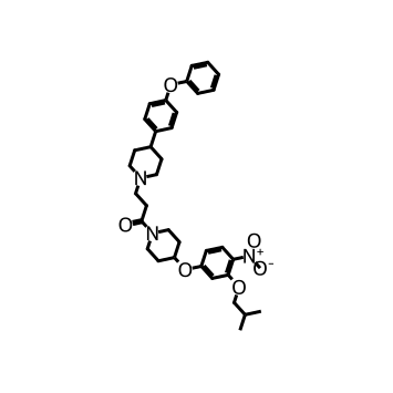 CC(C)COc1cc(OC2CCN(C(=O)CCN3CCC(c4ccc(Oc5ccccc5)cc4)CC3)CC2)ccc1[N+](=O)[O-]